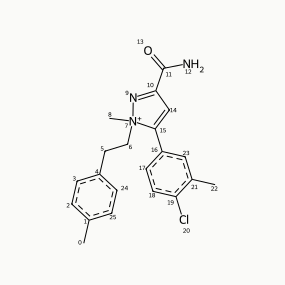 Cc1ccc(CC[N+]2(C)N=C(C(N)=O)C=C2c2ccc(Cl)c(C)c2)cc1